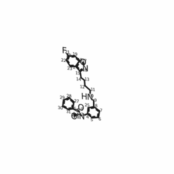 O=S(=O)(Nc1cccc(CNCCCCc2noc3cc(F)ccc23)c1)c1ccccc1